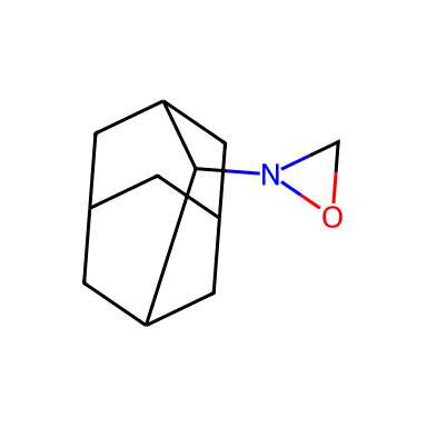 C1C2CC3CC1CC(C2)C3N1CO1